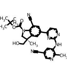 Cc1ncc(C#N)cc1Nc1nccc(-c2cc(C#N)c3c(c2)[C@@](C)(CO)CN3C(=O)OC(C)(C)C)n1